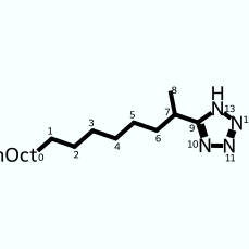 CCCCCCCCCCCCCCC(C)c1nnn[nH]1